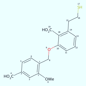 COc1cc(C(=O)O)ccc1COc1cccc(CCS)c1C(=O)O